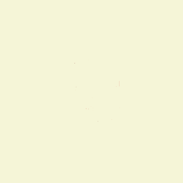 ClC1CCCOC1c1ccccc1